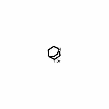 Br.C1CN2CCC1CC2